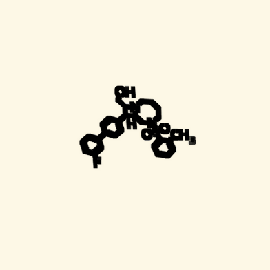 Cc1ccccc1S(=O)(=O)N1CCCCN2[C@H](CO)C(c3ccc(-c4cccc(F)c4)cc3)[C@@H]2C1